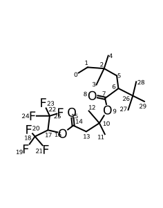 CCC(C)(C)CC(C(=O)OC(C)(C)CC(=O)OC(C(F)(F)F)C(F)(F)F)C(C)(C)C